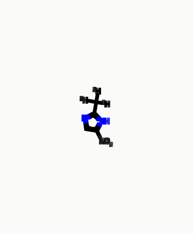 [2H]C([2H])([2H])c1ncc([N+](=O)[O-])[nH]1